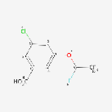 O=C(O)c1cc(Cl)cc(OC(F)C(F)(F)F)c1